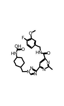 COc1cc(CNC(=O)c2cc(-c3ncn(CC4CCC(NC(=O)O)CC4)n3)nc(C)n2)ccc1F